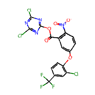 O=C(Oc1nc(Cl)nc(Cl)n1)c1cc(Oc2ccc(C(F)(F)F)cc2Cl)ccc1[N+](=O)[O-]